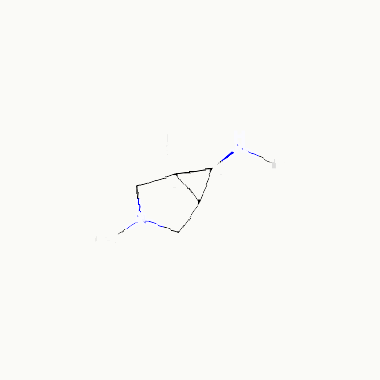 CC(C)N[C@H]1C2CN(C(C)(C)C)C[C@H]21